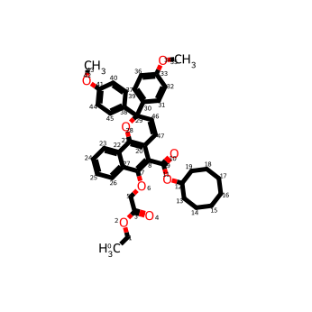 CCOC(=O)COc1c(C(=O)OC2CCCCCCC2)c2c(c3ccccc13)OC(c1ccc(OC)cc1)(c1ccc(OC)cc1)C=C2